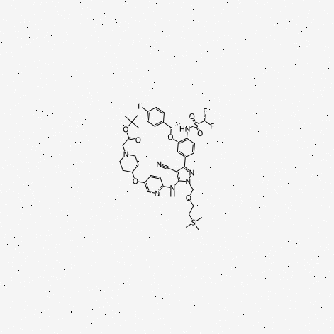 C[C@H](Oc1cc(-c2nn(COCC[Si](C)(C)C)c(Nc3ccc(OC4CCN(CC(=O)OC(C)(C)C)CC4)cn3)c2C#N)ccc1NS(=O)(=O)C(F)F)c1ccc(F)cc1